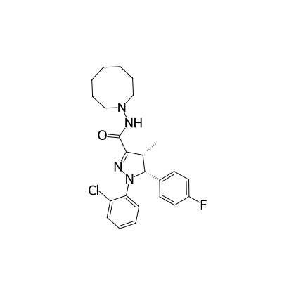 C[C@H]1C(C(=O)NN2CCCCCCC2)=NN(c2ccccc2Cl)[C@H]1c1ccc(F)cc1